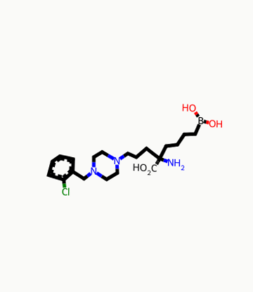 NC(CCCCB(O)O)(CCCN1CCN(Cc2ccccc2Cl)CC1)C(=O)O